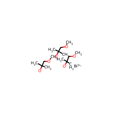 COCC(C)(C)[O-].COCC(C)(C)[O-].COCC(C)(C)[O-].[Bi+3]